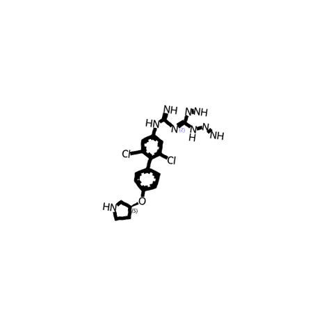 N=NN/C(N=N)=N/C(=N)Nc1cc(Cl)c(-c2ccc(O[C@H]3CCNC3)cc2)c(Cl)c1